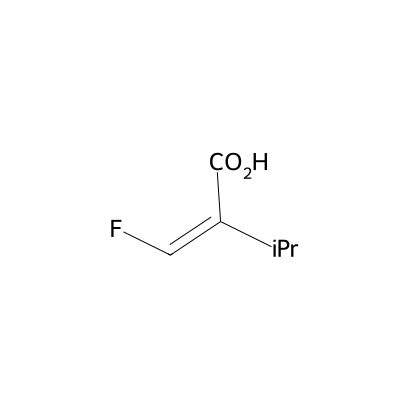 CC(C)C(=CF)C(=O)O